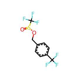 O=S(OCc1ccc(C(F)(F)F)cc1)C(F)(F)F